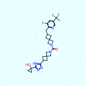 O=C(N1CC2(CC(Cc3ncc(C(F)(F)F)cc3F)C2)C1)N1CC2(CC(c3nnc(C4(O)CC4)[nH]3)C2)C1